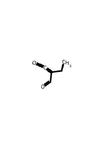 CCC(=C=O)C=O